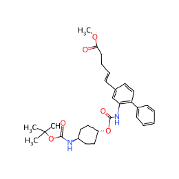 COC(=O)CC/C=C/c1ccc(-c2ccccc2)c(NC(=O)O[C@H]2CC[C@H](NC(=O)OC(C)(C)C)CC2)c1